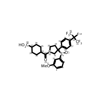 COc1cccc([S+]([O-])C2(c3ccc(C(F)(C(F)(F)F)C(F)(F)F)cc3)CCN(C(=O)C3CCC(C(=O)O)CC3)C2)c1